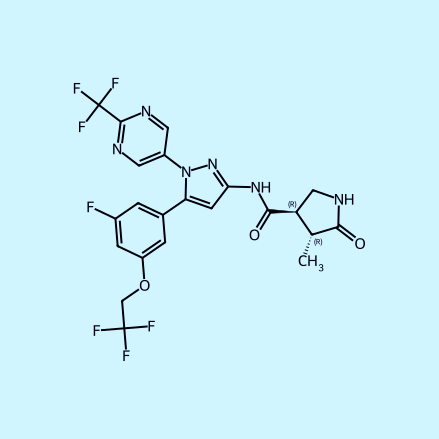 C[C@H]1C(=O)NC[C@@H]1C(=O)Nc1cc(-c2cc(F)cc(OCC(F)(F)F)c2)n(-c2cnc(C(F)(F)F)nc2)n1